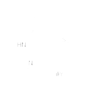 CC(C)c1n[nH]c2c1SCCC2